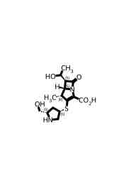 CC(O)[C@H]1C(=O)N2C(C(=O)O)=C(S[C@@H]3CN[C@H](CO)C3)[C@H](C)[C@H]12